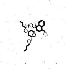 CCCCOC[C@@H]1C[C@H](OCCCC)C[C@H](C2=CC(CCl)=C3C=CC=CC3C2(I)CO)O1